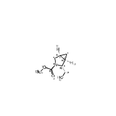 CC(C)(C)OC(=O)N1C[C@H]2C[C@H]2[C@@H]1CO